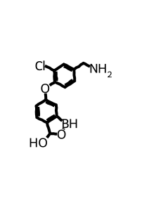 NCc1ccc(Oc2ccc3c(c2)BOC3O)c(Cl)c1